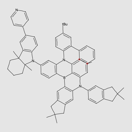 Cc1cc2c3c(c1)N(c1ccc(C(C)(C)C)cc1-c1ccccc1)c1cc(N4c5ccc(-c6ccncc6)cc5C5(C)CCCCC45C)ccc1B3c1cc3c(cc1N2c1ccc2c(c1)CC(C)(C)C2)CC(C)(C)C3